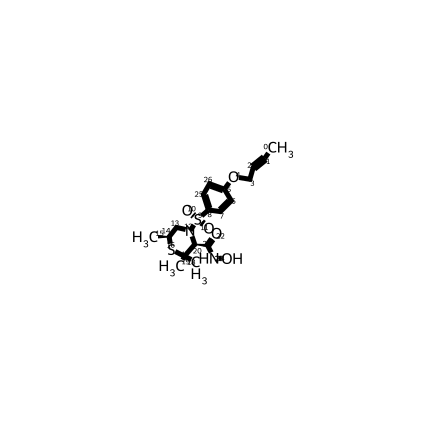 CC#CCOc1ccc(S(=O)(=O)N2C[C@H](C)SC(C)(C)[C@@H]2C(=O)NO)cc1